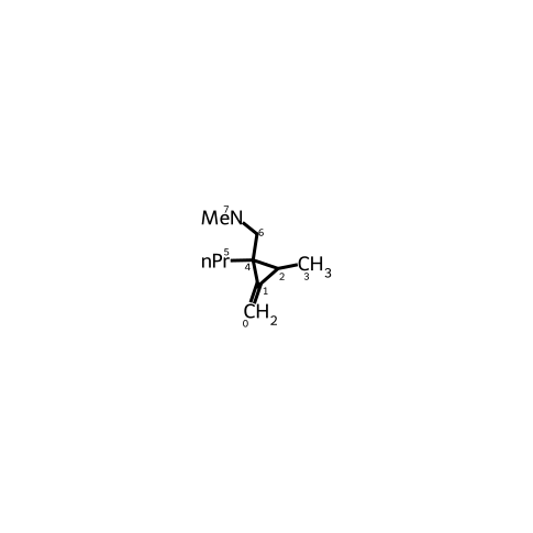 C=C1C(C)C1(CCC)CNC